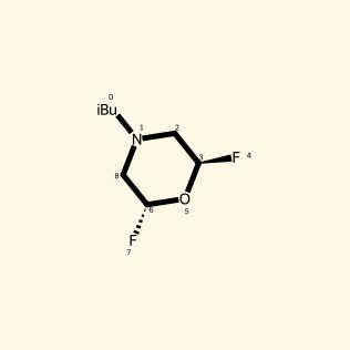 CCC(C)N1C[C@@H](F)O[C@H](F)C1